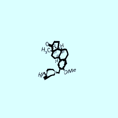 COc1cc2c(cc1CN1CCNCC1)[C@H]1CC[C@]3(C)C(=O)CC[C@H]3[C@@H]1CC2